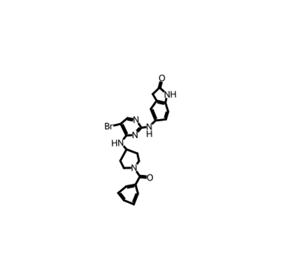 O=C1Cc2cc(Nc3ncc(Br)c(NC4CCN(C(=O)c5ccccc5)CC4)n3)ccc2N1